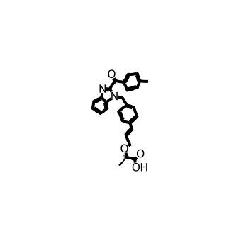 Cc1ccc(C(=O)c2nc3ccccc3n2Cc2ccc(C=CCO[C@H](C)C(=O)O)cc2)cc1